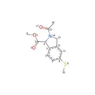 COC(=O)C1c2ccc(SC)cc2CN1C(C)=O